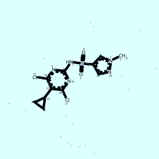 Cn1cc(S(=O)(=O)Nc2nc(Cl)c(C3CC3)c(Cl)n2)cn1